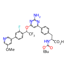 COc1cncc(-c2ccc(C(Oc3cc(-c4ccc(C[C@H](NC(=O)OC(C)(C)C)C(=O)O)cc4)nc(N)n3)C(F)(F)F)c(F)c2)c1